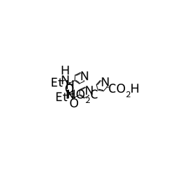 CCNC(=O)c1ccncc1.CCNC(=O)c1ccncc1.O=C(O)c1ccnc(C(=O)O)c1